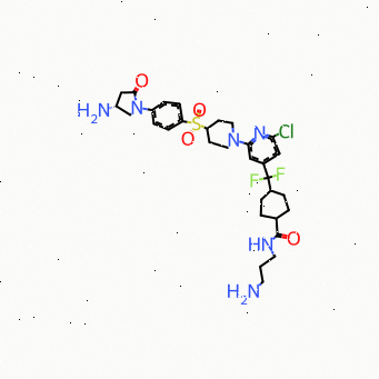 NCCCNC(=O)C1CCC(C(F)(F)c2cc(Cl)nc(N3CCC(S(=O)(=O)c4ccc(N5C[C@H](N)CC5=O)cc4)CC3)c2)CC1